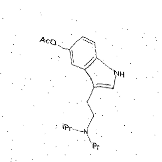 CC(=O)Oc1ccc2[nH]cc(CCN(C(C)C)C(C)C)c2c1